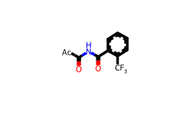 CC(=O)C(=O)NC(=O)c1ccccc1C(F)(F)F